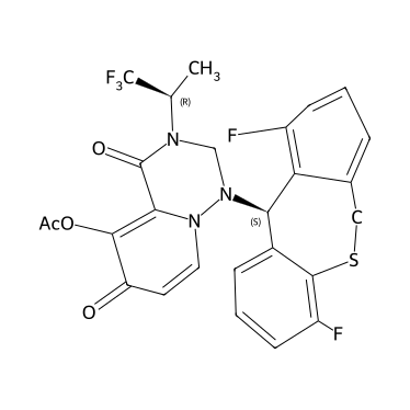 CC(=O)Oc1c2n(ccc1=O)N([C@@H]1c3cccc(F)c3SCc3cccc(F)c31)CN([C@H](C)C(F)(F)F)C2=O